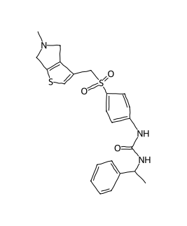 CC(NC(=O)Nc1ccc(S(=O)(=O)Cc2csc3c2CN(C)C3)cc1)c1ccccc1